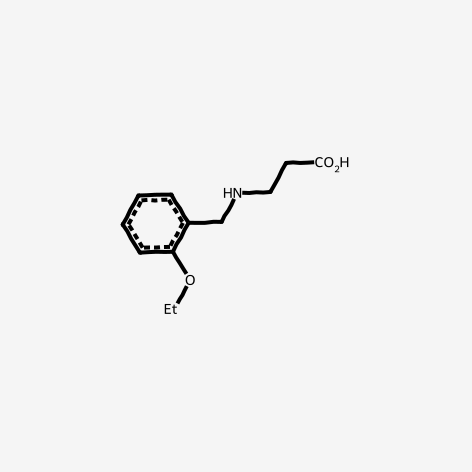 CCOc1ccccc1CNCCC(=O)O